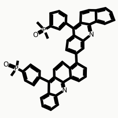 CP(C)(=O)c1ccc(-c2c3ccccc3nc3c2ccc2c(-c4ccc5c(-c6cccc(P(C)(C)=O)c6)c6ccc7ccccc7c6nc5c4)cccc23)cc1